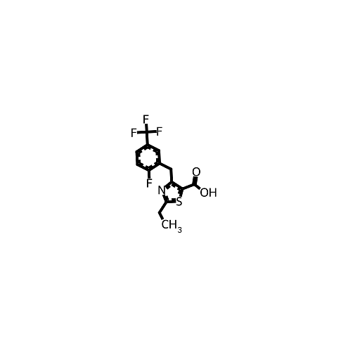 CCc1nc(Cc2cc(C(F)(F)F)ccc2F)c(C(=O)O)s1